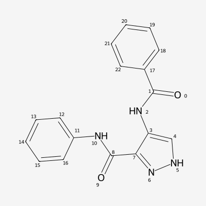 O=C(Nc1c[nH]nc1C(=O)Nc1ccccc1)c1ccccc1